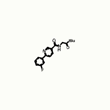 CC(C)(C)C(=O)CNC(=O)c1ccc(-c2cccc(F)c2)nc1